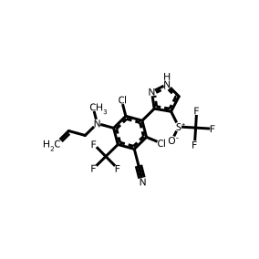 C=CCN(C)c1c(Cl)c(-c2n[nH]cc2[S+]([O-])C(F)(F)F)c(Cl)c(C#N)c1C(F)(F)F